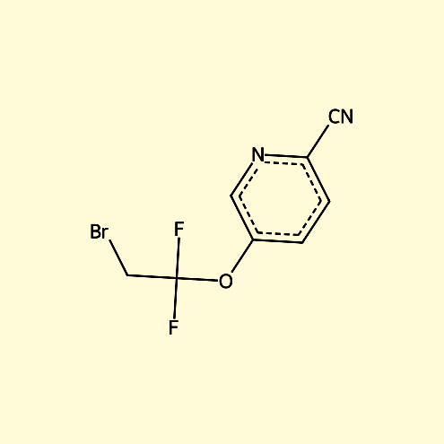 N#Cc1ccc(OC(F)(F)CBr)cn1